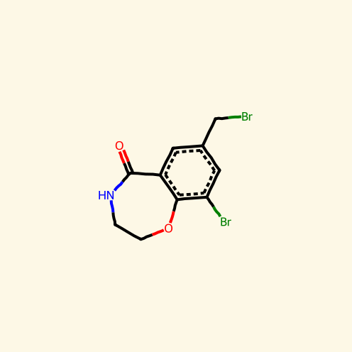 O=C1NCCOc2c(Br)cc(CBr)cc21